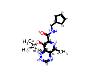 Cc1nc(C(=O)NCC2CC=CC2)c(O[Si](C)(C)C(C)(C)C)c2nncnc12